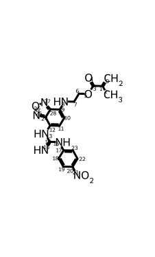 C=C(C)C(=O)OCCNc1ccc(NC(=N)Nc2ccc([N+](=O)[O-])cc2)c2nonc12